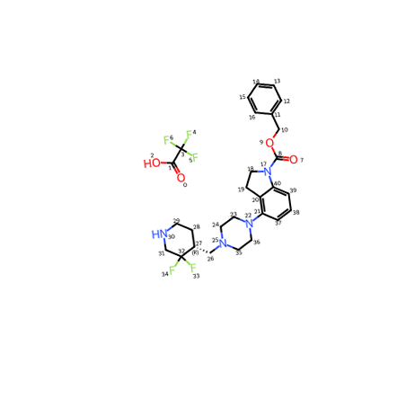 O=C(O)C(F)(F)F.O=C(OCc1ccccc1)N1CCc2c(N3CCN(C[C@H]4CCNCC4(F)F)CC3)cccc21